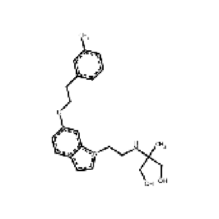 Cc1cccc(CCOc2ccc3ccn(CCNC(C)(CO)CO)c3c2)c1